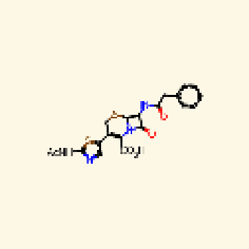 CC(=O)Nc1ncc(C2=C(C(=O)O)N3C(=O)C(NC(=O)Cc4ccccc4)C3SC2)s1